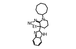 CCC1(C2N=C3C=CC=CC3N2)[CH]CCN(C2CCCCCCC2)C1=NC#N